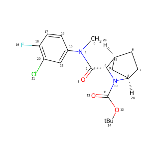 CN(C(=O)[C@@H]1[C@H]2CC[C@H](C2)N1C(=O)OC(C)(C)C)c1ccc(F)c(Cl)c1